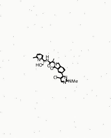 CNc1ncc(Cl)c(-c2ccc3c(c2)C(=O)N([C@H](C)C(=O)N[C@H](CO)c2cccc(C)n2)C3)n1